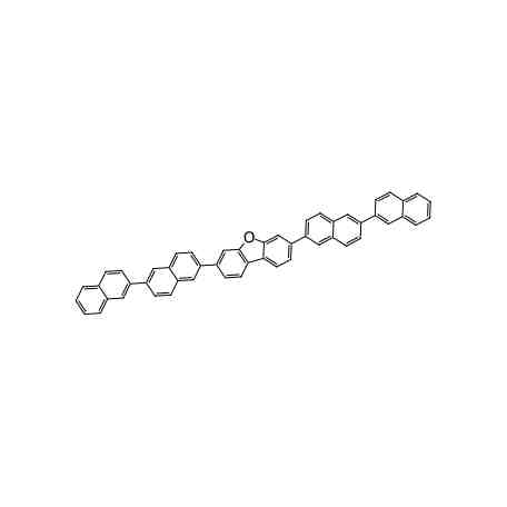 c1ccc2cc(-c3ccc4cc(-c5ccc6c(c5)oc5cc(-c7ccc8cc(-c9ccc%10ccccc%10c9)ccc8c7)ccc56)ccc4c3)ccc2c1